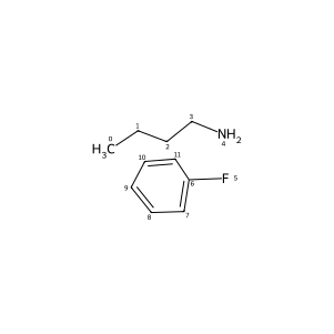 CCCCN.Fc1ccccc1